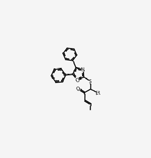 C/C=C/C(=O)C(CC)Sc1nc(-c2ccccc2)c(-c2ccccc2)o1